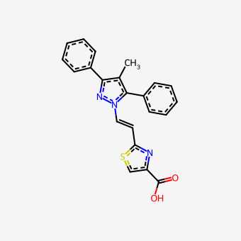 Cc1c(-c2ccccc2)nn(/C=C/c2nc(C(=O)O)cs2)c1-c1ccccc1